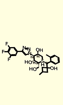 Cc1ccccc1[C@H]([SH]1C[C@H](O)[C@H](n2cc(-c3cc(F)c(F)c(F)c3)nn2)[C@@H](O)[C@H]1CO)C1(O)CC(C)C1